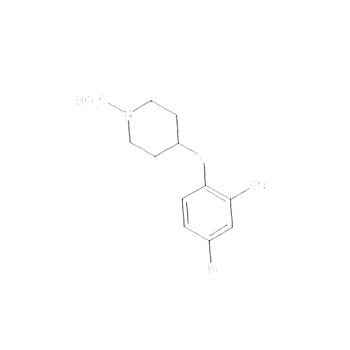 N#Cc1cc(Br)ccc1OC1CCN(C(=O)O)CC1